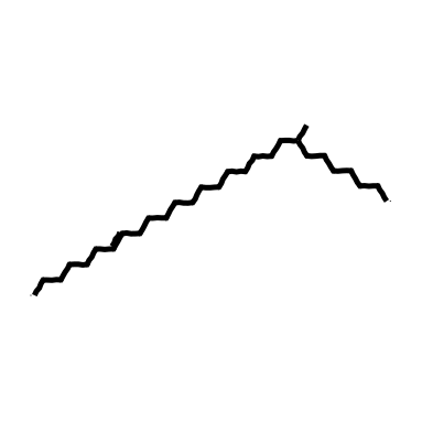 [CH2]CCCCCC=CCCCCCCCCCCCCC(C)CCCCCC[CH2]